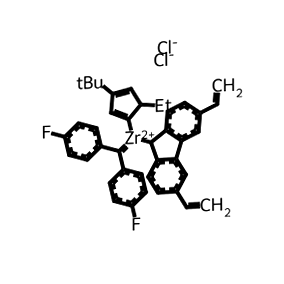 C=Cc1ccc2c(c1)-c1cc(C=C)ccc1[CH]2[Zr+2]([C]1=CC(C(C)(C)C)=CC1CC)=[C](c1ccc(F)cc1)c1ccc(F)cc1.[Cl-].[Cl-]